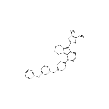 Cc1nc(-c2c3ncnn(N4CCN(Cc5cccc(Oc6ccccc6)c5)CC4)c-3c3c2CCCC3)sc1C